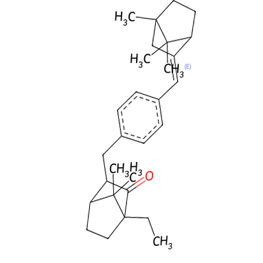 CCC12CCC(C(Cc3ccc(/C=C4\CC5(C)CCC4C5(C)C)cc3)C1=O)C2(C)C